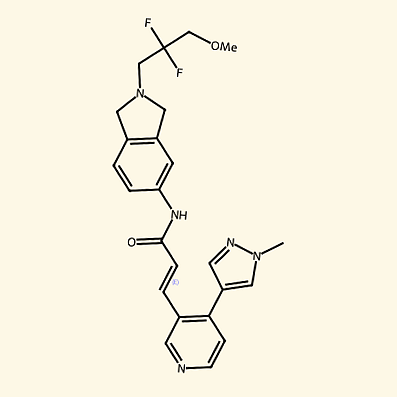 COCC(F)(F)CN1Cc2ccc(NC(=O)/C=C/c3cnccc3-c3cnn(C)c3)cc2C1